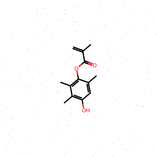 C=C(C)C(=O)Oc1c(C)cc(O)c(C)c1C